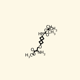 COC(=O)[C@@H](N)COC1CC2(CC(NC(=O)OC(C)(C)C)C2)C1